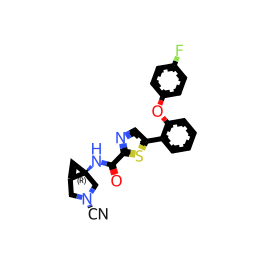 N#CN1CC2=C[C@]2(NC(=O)c2ncc(-c3ccccc3Oc3ccc(F)cc3)s2)C1